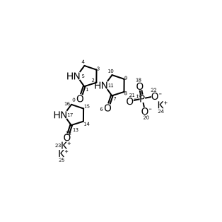 O=C1CCCN1.O=C1CCCN1.O=C1CCCN1.O=P([O-])([O-])[O-].[K+].[K+].[K+]